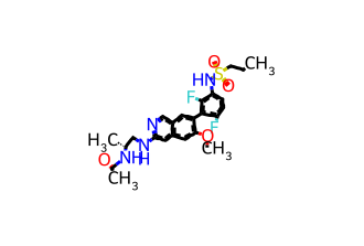 CCCS(=O)(=O)Nc1ccc(F)c(-c2cc3cnc(NC[C@@H](C)NC(C)=O)cc3cc2OC)c1F